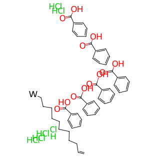 C=CCCCCCCCC[CH2][W].Cl.Cl.Cl.Cl.Cl.Cl.O=C(O)c1ccccc1.O=C(O)c1ccccc1.O=C(O)c1ccccc1.O=C(O)c1ccccc1.O=C(O)c1ccccc1.O=C(O)c1ccccc1